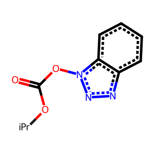 CC(C)OC(=O)On1nnc2ccccc21